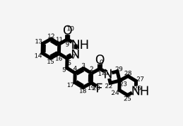 O=C(c1cc(Cc2n[nH]c(=O)c3ccccc23)ccc1F)N1CC2(CCNCC2)C1